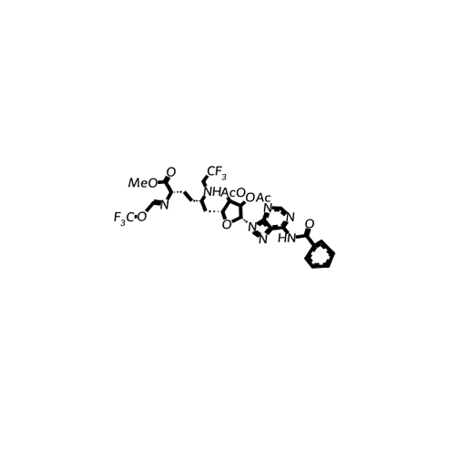 COC(=O)[C@H](CC[C@@H](C[C@H]1O[C@@H](n2cnc3c(NC(=O)c4ccccc4)ncnc32)C(OC(C)=O)C1OC(C)=O)NCC(F)(F)F)N=COC(F)(F)F